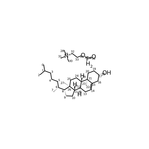 CC(C)CCC[C@@H](C)[C@H]1CC[C@H]2[C@@H]3CC=C4C[C@@H](O)CC[C@]4(C)[C@H]3CC[C@]12C.C[N+](C)(C)CCO[PH2]=O